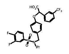 CC(C)N(Cc1ccc(OC(C(=O)O)c2cccc(C(F)(F)F)c2)cc1)S(=O)(=O)c1ccc(F)c(F)c1